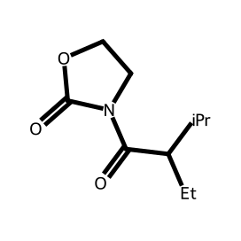 CCC(C(=O)N1CCOC1=O)C(C)C